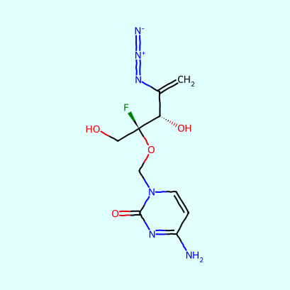 C=C(N=[N+]=[N-])[C@H](O)[C@@](F)(CO)OCn1ccc(N)nc1=O